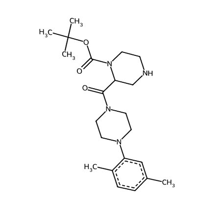 Cc1ccc(C)c(N2CCN(C(=O)C3CNCCN3C(=O)OC(C)(C)C)CC2)c1